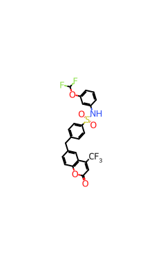 O=c1cc(C(F)(F)F)c2cc(Cc3ccc(S(=O)(=O)Nc4cccc(OC(F)F)c4)cc3)ccc2o1